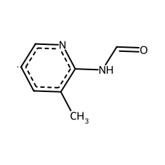 Cc1c[c]cnc1NC=O